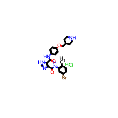 Cc1ccc(Br)cc1NC(=O)c1nc[nH]c1C(=O)Nc1ccc(OCC2CCNCC2)cc1.Cl